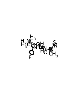 Cn1nc(-c2cscn2)cc1C(=O)N1C[C@@H]2[C@H]1C[C@H]2Oc1cc(C(C)(C)N)cc(-c2ccc(F)cc2)n1